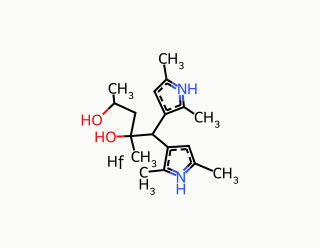 Cc1cc(C(c2cc(C)[nH]c2C)C(C)(O)CC(C)O)c(C)[nH]1.[Hf]